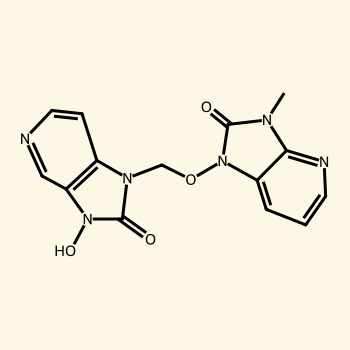 Cn1c(=O)n(OCn2c(=O)n(O)c3cnccc32)c2cccnc21